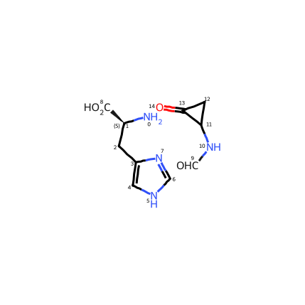 N[C@@H](Cc1c[nH]cn1)C(=O)O.O=CNC1CC1=O